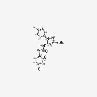 Cc1ccc(-n2nc(C(C)(C)C)cc2NC(=O)Cc2ccc(Cl)cc2Cl)cc1